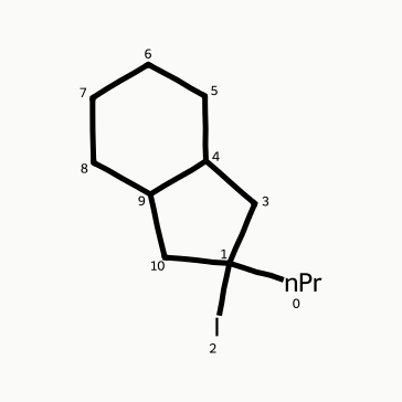 CCCC1(I)CC2CCCCC2C1